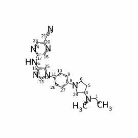 CCN(C)C1CCN(c2ccc(-n3cnc(Nc4cnc(C#N)cn4)c3)cc2)C1